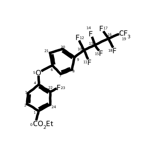 CCOC(=O)c1ccc(Oc2ccc(C(F)(F)C(F)(F)C(F)(F)C(F)(F)F)cc2)c(F)c1